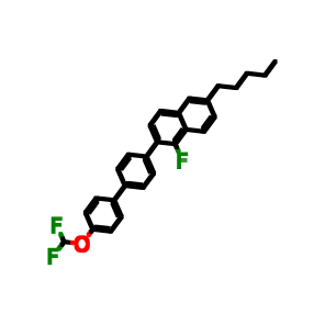 CCCCCc1ccc2c(F)c(-c3ccc(-c4ccc(OC(F)F)cc4)cc3)ccc2c1